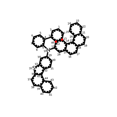 c1ccc(-c2ccccc2N(c2ccc3c(ccc4ccc5ccccc5c43)c2)c2ccc3c(c2)sc2ccc4ccccc4c23)cc1